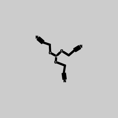 N#CCOP(OCC#N)OCC#N